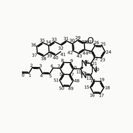 C=C/C=C\C=C/Cc1ccc(-c2nc(-c3ccccc3)nc(-c3cccc4oc5cc(/C=C/C=c6/cccc/c6=C/C)ccc5c34)n2)c2ccccc12